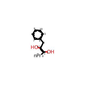 CCCC(O)=C(O)Cc1ccccc1